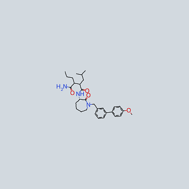 CCCC(C(N)=O)C(CC(C)C)C(=O)N[C@H]1CCCCN(Cc2cccc(-c3ccc(OC)cc3)c2)C1=O